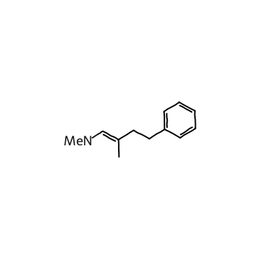 CN/C=C(\C)CCc1ccccc1